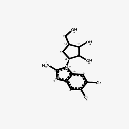 Nc1nc2cc(Cl)c(Cl)cc2n1[C@H]1CC(CO)C(O)C1O